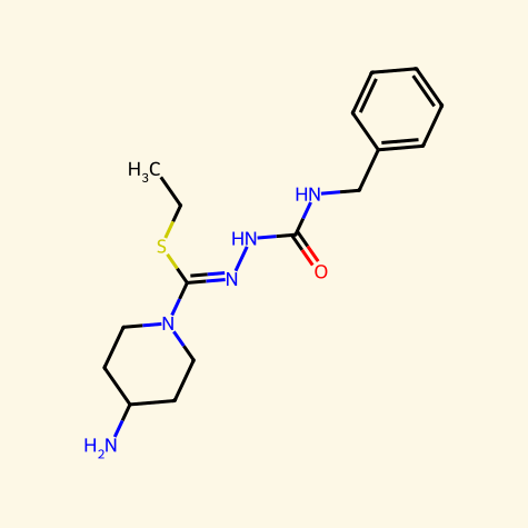 CCS/C(=N\NC(=O)NCc1ccccc1)N1CCC(N)CC1